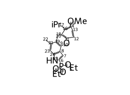 CCOP(=O)(OCC)c1cc2c(Oc3ccc(OC)c(C(C)C)c3)c(C)c(C)cc2[nH]1